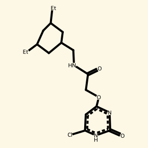 CCC1CC(CC)CC(CNC(=O)COc2cc(Cl)[nH]c(=O)n2)C1